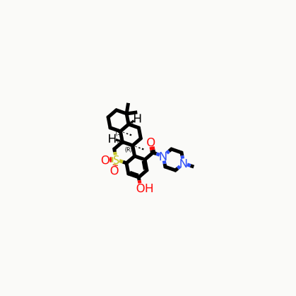 CN1CCN(C(=O)C2=CC(O)=CC3C2[C@]2(C)CC[C@H]4C(C)(C)CCC[C@]4(C)[C@H]2CS3(=O)=O)CC1